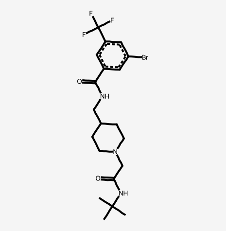 CC(C)(C)NC(=O)CN1CCC(CNC(=O)c2cc(Br)cc(C(F)(F)F)c2)CC1